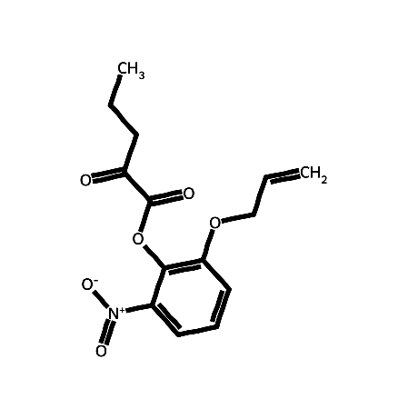 C=CCOc1cccc([N+](=O)[O-])c1OC(=O)C(=O)CCC